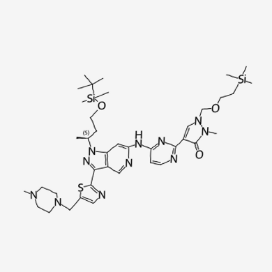 C[C@@H](CCO[Si](C)(C)C(C)(C)C)n1nc(-c2ncc(CN3CCN(C)CC3)s2)c2cnc(Nc3ccnc(-c4cn(COCC[Si](C)(C)C)n(C)c4=O)n3)cc21